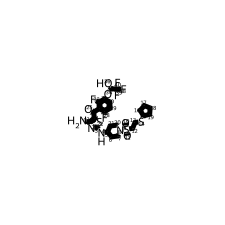 Nc1nc(NC2CCN(S(=O)(=O)CCSC3CCCC3)CC2)sc1C(=O)c1c(F)cccc1F.O=C(O)C(F)(F)F